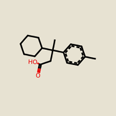 Cc1ccc(C(C)(CC(=O)O)C2CCCCC2)cc1